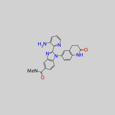 CNC(=O)c1ccc2c(c1)nc(-c1ncccc1N)n2-c1ccc2c(c1)CCC(=O)N2